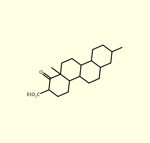 CCOC(=O)C1CCC2C3CCC4CC(C)CCC4C3CCC2(C)C1=O